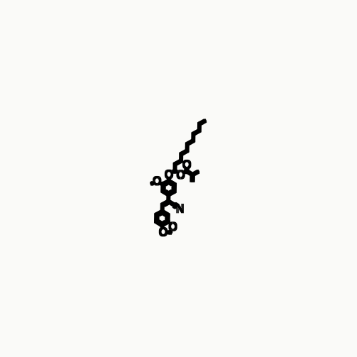 C=C(C)C(=O)OC(CCCCCCCCCC)Oc1ccc(C(C#N)=Cc2ccc3c(c2)OCO3)cc1OC